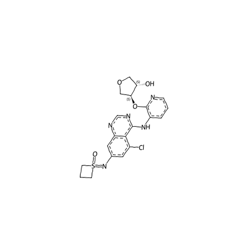 O=S1(=Nc2cc(Cl)c3c(Nc4cccnc4O[C@H]4COC[C@@H]4O)ncnc3c2)CCC1